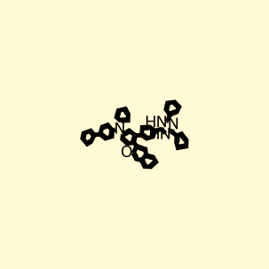 c1ccc(C2=NC(c3ccccc3)NC(c3ccc(-c4cc(N(c5ccccc5)c5ccc(-c6ccccc6)cc5)cc5oc6cc7ccccc7cc6c45)cc3)N2)cc1